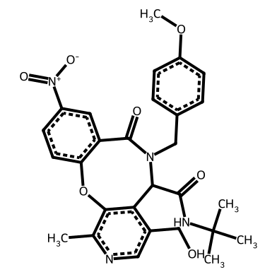 COc1ccc(CN2C(=O)c3cc([N+](=O)[O-])ccc3Oc3c(C)ncc(CO)c3C2C(=O)NC(C)(C)C)cc1